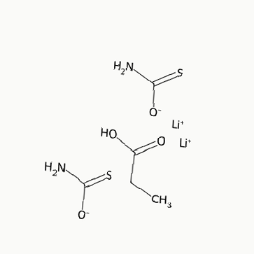 CCC(=O)O.NC([O-])=S.NC([O-])=S.[Li+].[Li+]